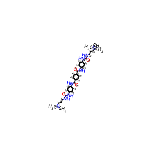 CN(C)CCCNC(=O)Nc1ccc(NC(=O)c2ccc(C(=O)Nc3ccc(NC(=O)NCCC[N+](C)(C)C)cc3)cc2)cc1